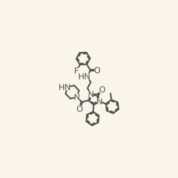 Cc1ccccc1-n1c(-c2ccccc2)c(C(=O)N2CCNCC2)n(CCNC(=O)c2ccccc2F)c1=O